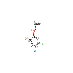 COCOc1cc(Cl)c(F)cc1Br